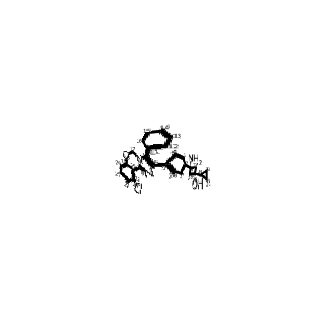 N[C@]1(c2ccc(-c3nc4n(c3-c3ccccc3)COc3cccc(Cl)c3-4)cc2)C[C@](O)(C2CC2)C1